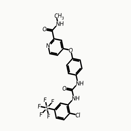 CNC(=O)c1cc(Oc2ccc(NC(=O)Nc3cc(S(F)(F)(F)(F)F)ccc3Cl)cc2)ccn1